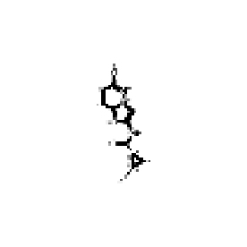 O=C(Nc1cn2nc(Cl)ccc2n1)[C@@H]1C[C@@H]1F